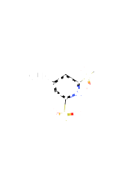 CS(=O)(=O)c1cc([C]=O)cc(S(C)(=O)=O)n1